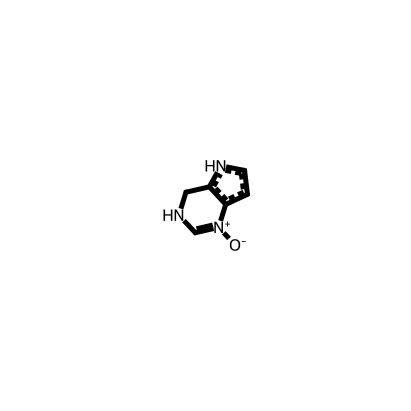 [O-][N+]1=CNCc2[nH]ccc21